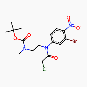 CN(CCN(C(=O)CCl)c1ccc([N+](=O)[O-])c(Br)c1)C(=O)OC(C)(C)C